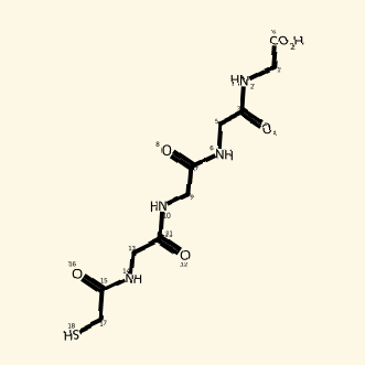 O=C(O)CNC(=O)CNC(=O)CNC(=O)CNC(=O)CS